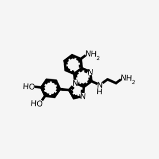 NCCNc1nc2c(N)cccc2n2c(-c3ccc(O)c(O)c3)cnc12